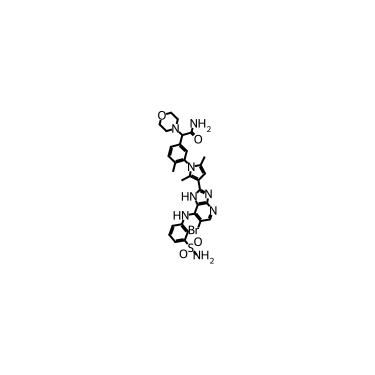 Cc1ccc(C(C(N)=O)N2CCOCC2)cc1-n1c(C)cc(-c2nc3ncc(Br)c(Nc4cccc(S(N)(=O)=O)c4)c3[nH]2)c1C